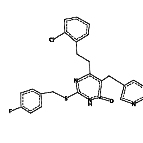 O=c1[nH]c(SCc2ccc(F)cc2)nc(CCc2ccccc2Cl)c1Cc1cncnc1